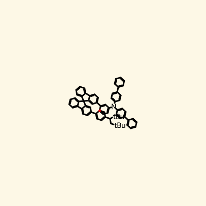 CC(C)(C)CC(c1ccc(-c2ccc3c(c2)C2(c4ccccc4-3)c3ccccc3-c3ccc(-c4cccc(N(c5ccc(-c6ccccc6)cc5)c5ccc(-c6ccccc6)cc5)c4)cc32)cc1)C(C)(C)C